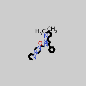 Cc1ccc(-c2cc(-c3ccccc3)n(CC(=O)N3CCN(c4ccccn4)CC3)n2)nc1C